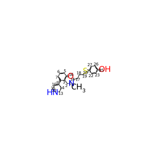 CN(Cc1ccccc1C1=CCNCC1)C(=O)CCCSc1ccc(O)cc1